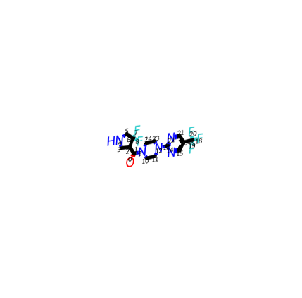 O=C(C1CNCC1(F)F)N1CCN(c2ncc(C(F)(F)F)cn2)CC1